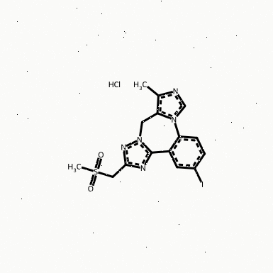 Cc1ncn2c1Cn1nc(CS(C)(=O)=O)nc1-c1cc(I)ccc1-2.Cl